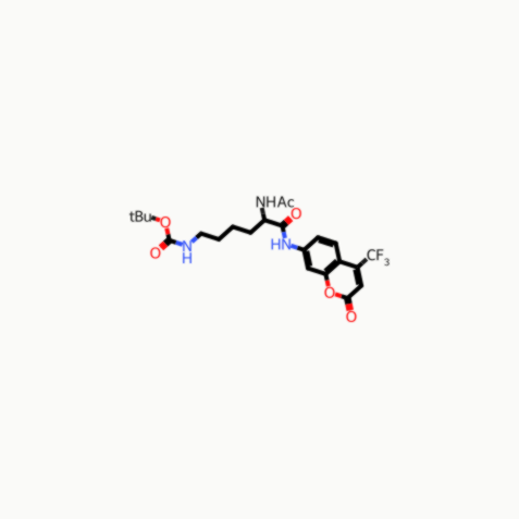 CC(=O)NC(CCCCNC(=O)OC(C)(C)C)C(=O)Nc1ccc2c(C(F)(F)F)cc(=O)oc2c1